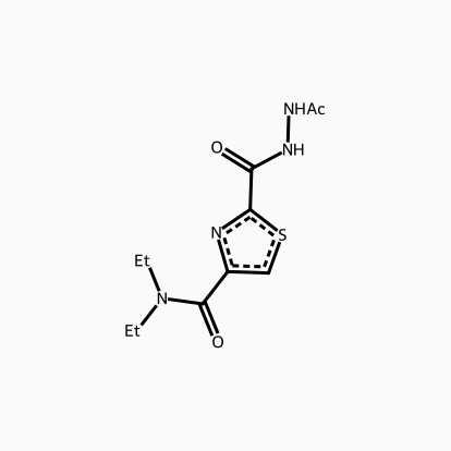 CCN(CC)C(=O)c1csc(C(=O)NNC(C)=O)n1